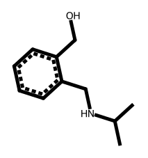 CC(C)NCc1ccccc1CO